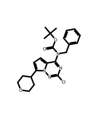 CC(C)(C)OC(=O)N(Cc1ccccc1)c1nc(Cl)nn2c(C3CCOCC3)ccc12